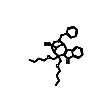 CCCCOCC1(COCCCC)c2[nH]c3ccccc3c2C2CC(O)C1CCN2Cc1ccccc1